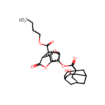 O=C1Oc2c(OC(=O)C34CC5CC(C3)C(O)C(C5)C4)c3oc2c1c3C(=O)OCCCS(=O)(=O)O